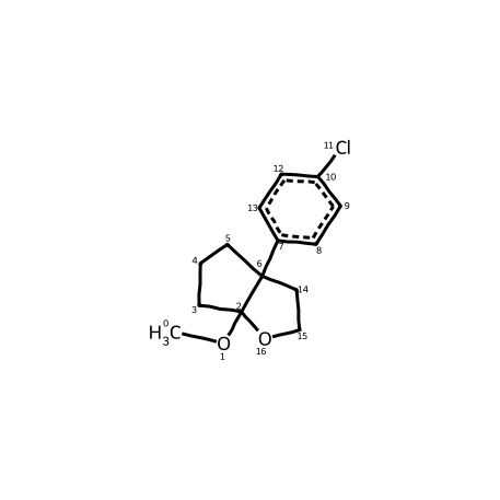 COC12CCCC1(c1ccc(Cl)cc1)CCO2